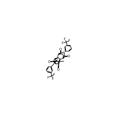 O=c1c2ccc(c(=O)n1-c1cccc(C(F)(F)F)c1)c1c3ccc(c(=O)n(-c4cccc(C(F)(F)F)c4)c3=O)c21